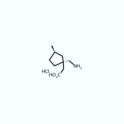 C[C@@H]1CC[C@](CN)(CC(=O)O)C1.Cl